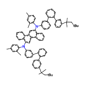 Cc1ccc(N(c2cccc(-c3ccccc3-c3cccc(C(C)(C)CC(C)(C)C)c3)c2)c2cc3c4ccccc4c(N(c4cccc(-c5ccccc5-c5cccc(C(C)(C)CC(C)(C)C)c5)c4)c4ccc(C)cc4C)cc3c3ccccc23)c(C)c1